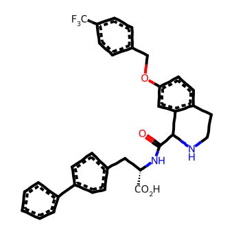 O=C(N[C@@H](Cc1ccc(-c2ccccc2)cc1)C(=O)O)C1NCCc2ccc(OCc3ccc(C(F)(F)F)cc3)cc21